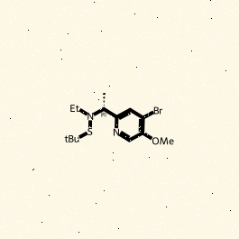 CCN(SC(C)(C)C)[C@H](C)c1cc(Br)c(OC)cn1